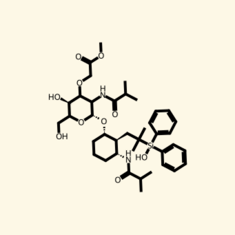 COC(=O)COC1C(NC(=O)C(C)C)[C@H](O[C@H]2CCC[C@@H](NC(=O)C(C)C)[C@@H]2CC(C)(C)[Si](O)(c2ccccc2)c2ccccc2)OC(CO)[C@H]1O